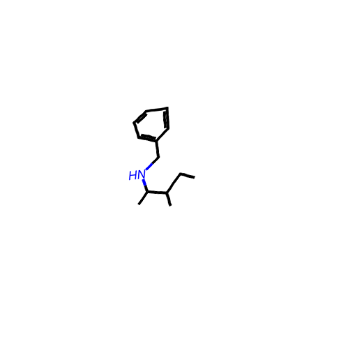 CCC(C)C(C)NCc1ccccc1